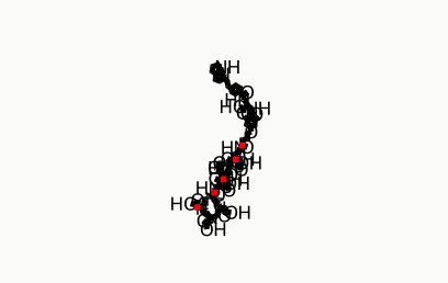 Cc1cc(OCCCC(=O)NCCNC(=O)[C@H](CS(=O)(=O)O)NC(=O)[C@H](CS(=O)(=O)O)NC(=O)C(CS(=O)(=O)O)NC(=O)CN2CCN(CC(=O)O)CCN(CC(=O)O)CCN(CC(=O)O)CC2)cc(C)c1S(=O)(=O)N[C@@H](CNC(=O)c1ccc(CCc2ccc3c(n2)NCCC3)cc1)C(=O)O